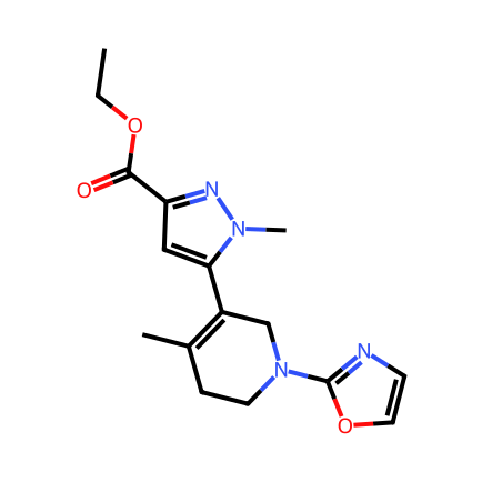 CCOC(=O)c1cc(C2=C(C)CCN(c3ncco3)C2)n(C)n1